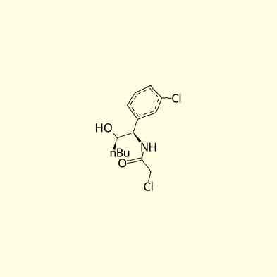 CCCC[C@@H](O)[C@H](NC(=O)CCl)c1cccc(Cl)c1